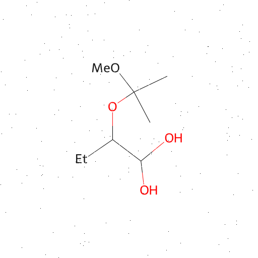 CCC(OC(C)(C)OC)C(O)O